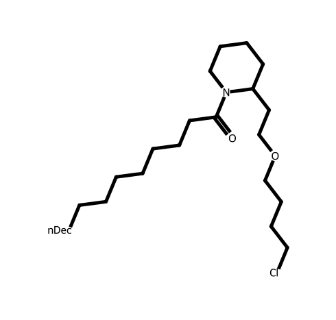 CCCCCCCCCCCCCCCCCC(=O)N1CCCCC1CCOCCCCCl